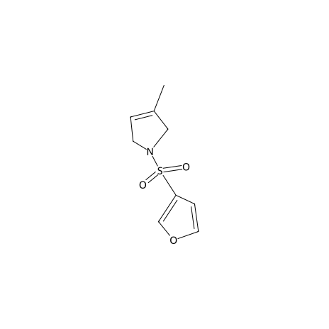 CC1=CCN(S(=O)(=O)c2ccoc2)C1